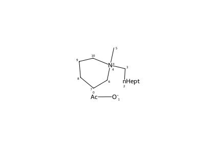 CC(=O)[O-].CCCCCCCC[N+]1(C)CCCCC1